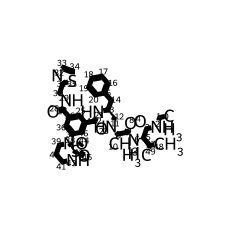 CCNC(=O)[C@@H](NC(=O)[C@H](C)NC[C@H](Cc1ccccc1)NC(=O)c1cc(C(=O)NCc2nccs2)cc(N2CCCNS2(=O)=O)c1)C(C)C